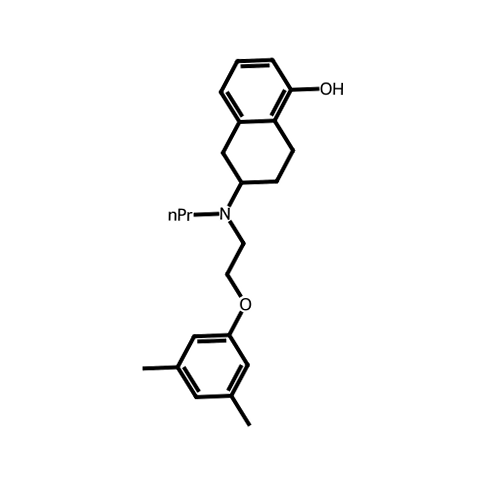 CCCN(CCOc1cc(C)cc(C)c1)C1CCc2c(O)cccc2C1